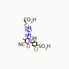 Cc1c(/N=N/c2nc(SCCC(=O)O)ns2)c(O)n(-c2cc(Cl)c(S(=O)(=O)O)cc2Cl)c(=O)c1C#N